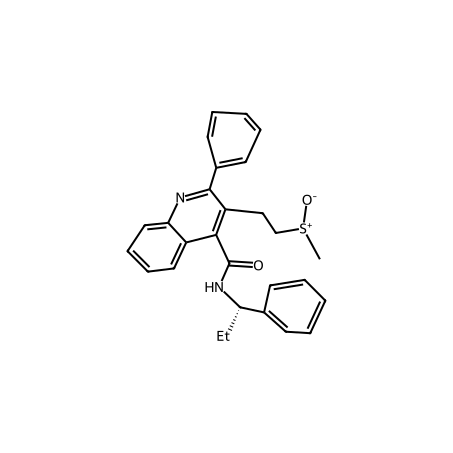 CC[C@H](NC(=O)c1c(CC[S+](C)[O-])c(-c2ccccc2)nc2ccccc12)c1ccccc1